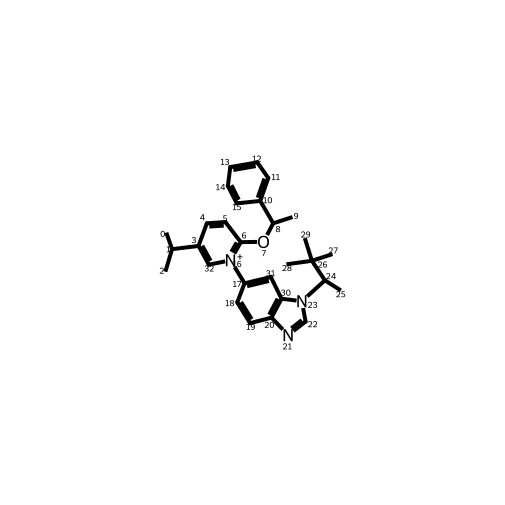 CC(C)c1ccc(OC(C)c2ccccc2)[n+](-c2ccc3ncn(C(C)C(C)(C)C)c3c2)c1